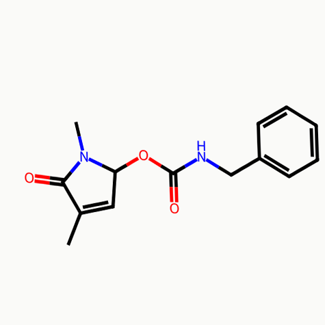 CC1=CC(OC(=O)NCc2ccccc2)N(C)C1=O